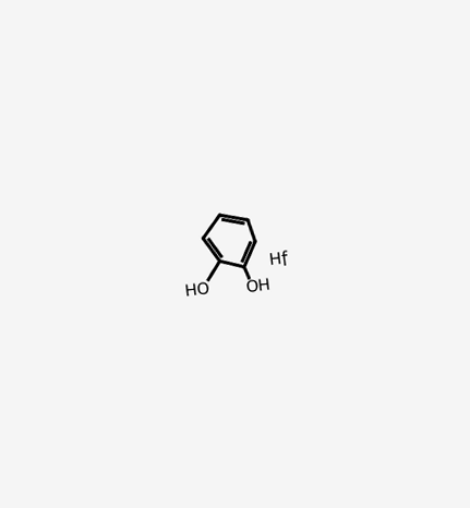 Oc1ccccc1O.[Hf]